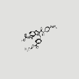 CCOC(=O)c1ccc(Cn2c(C(=O)NC3CCC(N)CC3)cc3ccc(NC(=O)O)cc32)cc1